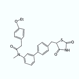 CCOc1ccc(CC(=O)N(C)c2cccc(-c3ccc(CC4SC(=O)NC4=O)cc3)c2)cc1